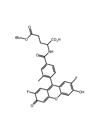 Cc1cc(C(=O)NC(CCC(=O)OC(C)(C)C)C(=O)O)ccc1-c1c2cc(F)c(=O)cc-2oc2cc(O)c(F)cc12